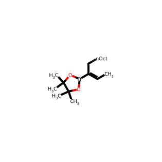 C/C=C(\CCCCCCCCC)B1OC(C)(C)C(C)(C)O1